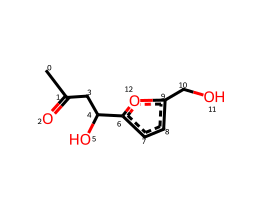 CC(=O)CC(O)c1ccc(CO)o1